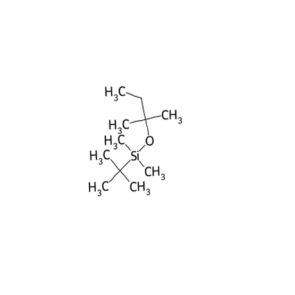 CCC(C)(C)O[Si](C)(C)C(C)(C)C